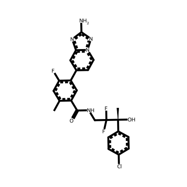 Cc1cc(F)c(-c2ccn3nc(N)nc3c2)cc1C(=O)NCC(F)(F)[C@](C)(O)c1ccc(Cl)cc1